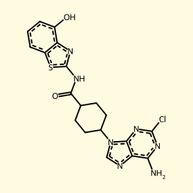 Nc1nc(Cl)nc2c1ncn2C1CCC(C(=O)Nc2nc3c(O)cccc3s2)CC1